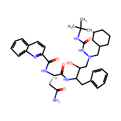 CC(C)(C)NC(=O)NN(CC1CCCCC1)CC(O)C(Cc1ccccc1)NC(=O)[C@H](CC(N)=O)NC(=O)c1ccc2ccccc2n1